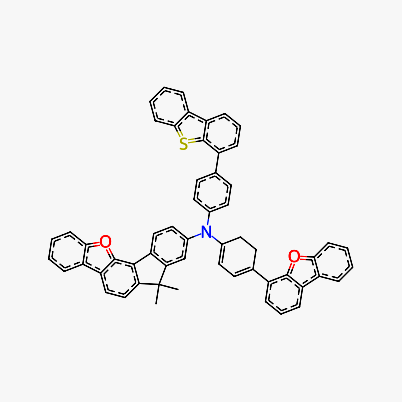 CC1(C)c2cc(N(C3=CC=C(c4cccc5c4oc4ccccc45)CC3)c3ccc(-c4cccc5c4sc4ccccc45)cc3)ccc2-c2c1ccc1c2oc2ccccc21